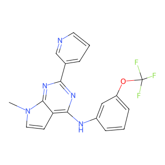 Cn1ccc2c(Nc3cccc(OC(F)(F)F)c3)nc(-c3cccnc3)nc21